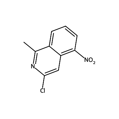 Cc1nc(Cl)cc2c([N+](=O)[O-])cccc12